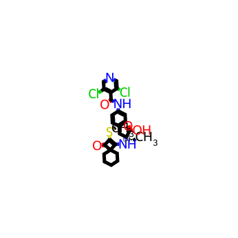 CC[C@@](Cc1ccc(NC(=O)c2c(Cl)cncc2Cl)cc1)(NC1=C(SC)C(=O)C12CCCCC2)C(=O)O